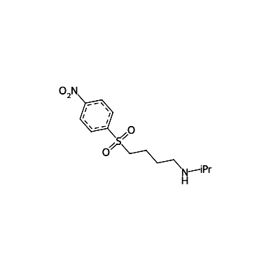 CC(C)NCCCCS(=O)(=O)c1ccc([N+](=O)[O-])cc1